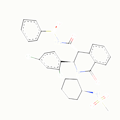 CS(=O)(=O)N[C@H]1CCCC[C@@H]1N1C(=O)c2ccccc2[C@@H](C(=O)N[S@+]([O-])c2ccccc2)[C@@H]1c1ccc(Cl)cc1Cl